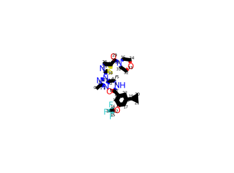 Cc1nc([C@H](C)NC(=O)c2cc(OC(F)(F)F)cc(C3CC3)c2)n(-c2ncc(C(=O)N3CCOCC3)s2)n1